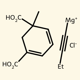 CC1(C(=O)O)C=CC=C(C(=O)O)C1.CCC#[C][Mg+].[Cl-]